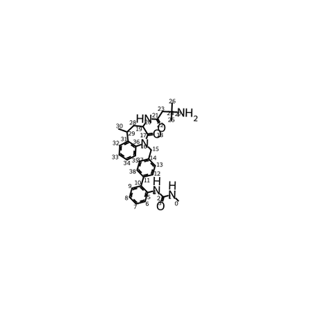 CNC(=O)Nc1ccccc1-c1ccc(CN2C(=O)C(NC(=O)CC(C)(C)N)CC(C)c3ccccc32)cc1